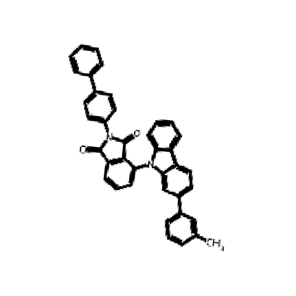 Cc1cccc(-c2ccc3c4ccccc4n(-c4cccc5c4C(=O)N(c4ccc(-c6ccccc6)cc4)C5=O)c3c2)c1